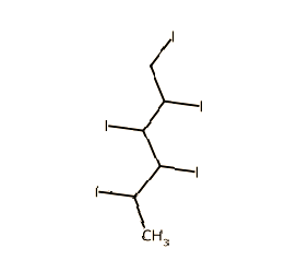 CC(I)C(I)C(I)C(I)CI